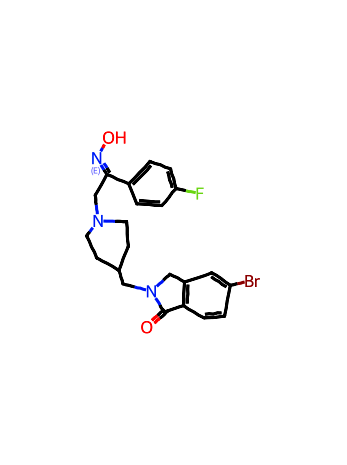 O=C1c2ccc(Br)cc2CN1CC1CCN(C/C(=N/O)c2ccc(F)cc2)CC1